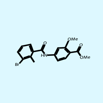 COC(=O)c1ccc(NC(=O)c2cccc(Br)c2C)cc1OC